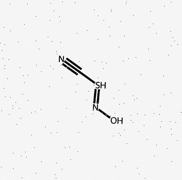 N#C/[SH]=N/O